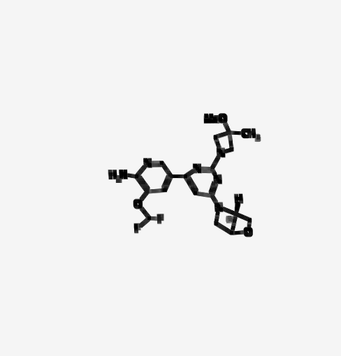 COC1(C)CN(c2nc(-c3cnc(N)c(OC(F)F)c3)cc(N3CC4OC[C@H]43)n2)C1